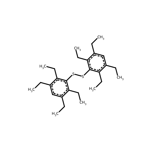 CCc1cc(CC)c(CC)c(SSc2c(CC)c(CC)cc(CC)c2CC)c1CC